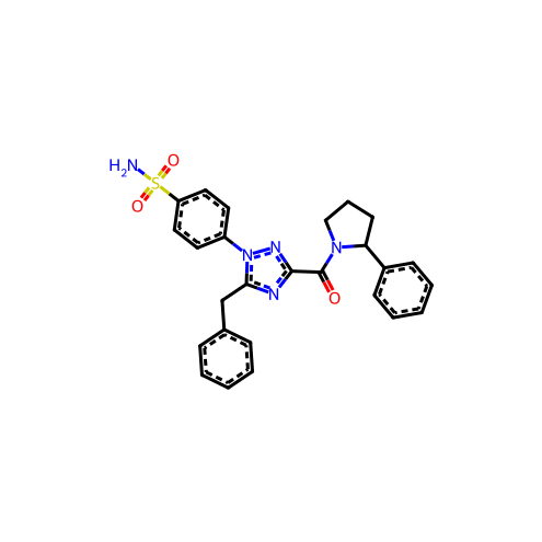 NS(=O)(=O)c1ccc(-n2nc(C(=O)N3CCCC3c3ccccc3)nc2Cc2ccccc2)cc1